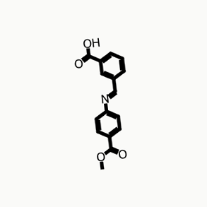 COC(=O)c1ccc(/N=C/c2cccc(C(=O)O)c2)cc1